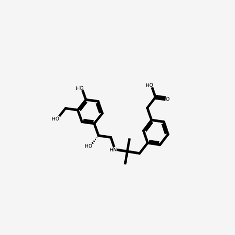 CC(C)(Cc1cccc(CC(=O)O)c1)NC[C@H](O)c1ccc(O)c(CO)c1